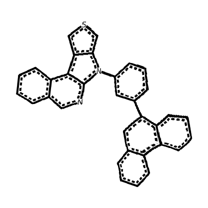 c1cc(-c2cc3ccccc3c3ccccc23)cc(-n2c3cscc3c3c4ccccc4cnc32)c1